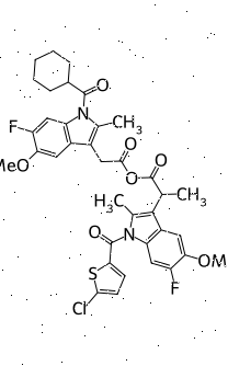 COc1cc2c(CC(=O)OC(=O)C(C)c3c(C)n(C(=O)c4ccc(Cl)s4)c4cc(F)c(OC)cc34)c(C)n(C(=O)C3CCCCC3)c2cc1F